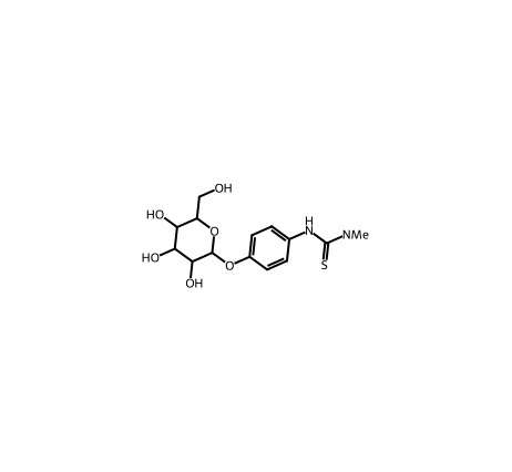 CNC(=S)Nc1ccc(OC2OC(CO)C(O)C(O)C2O)cc1